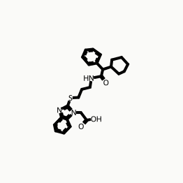 O=C(O)Cn1c(SCCCNC(=O)C(c2ccccc2)C2CCCCC2)nc2ccccc21